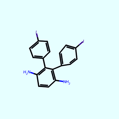 Nc1ccc(N)c(-c2ccc(I)cc2)c1-c1ccc(I)cc1